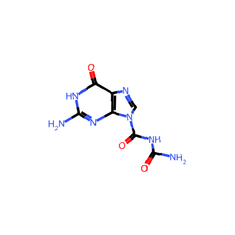 NC(=O)NC(=O)n1cnc2c(=O)[nH]c(N)nc21